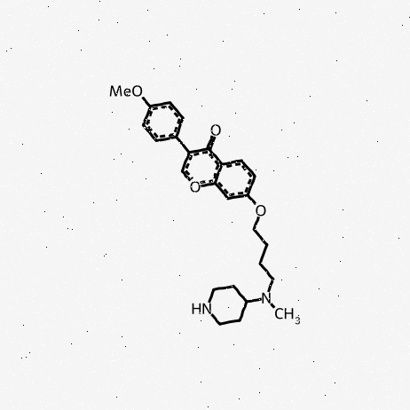 COc1ccc(-c2coc3cc(OCCCCN(C)C4CCNCC4)ccc3c2=O)cc1